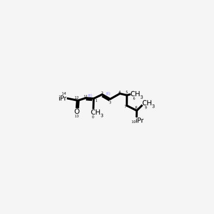 CC(/C=C/CC(C)CC(C)C(C)C)=C\C(=O)C(C)C